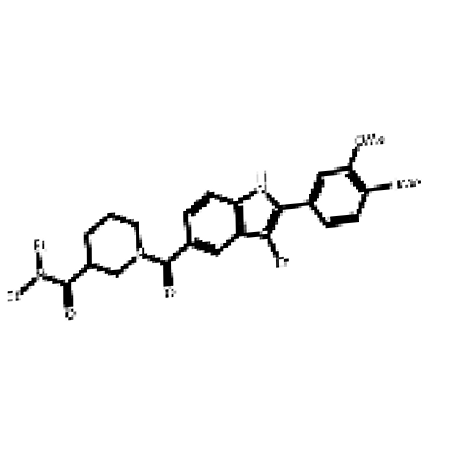 CCc1c(-c2ccc(OC)c(OC)c2)[nH]c2ccc(C(=O)N3CCCC(C(=O)N(CC)CC)C3)cc12